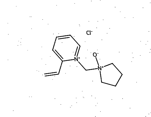 C=Cc1cccc[n+]1C[N+]1([O-])CCCC1.[Cl-]